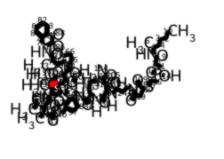 CCCCCC(C)NC(=O)CCP(=O)(O)CCSC1CC(=O)N(CCC(=O)N[C@H]2C(=O)N[C@H](C(=O)Nc3ccc(COC(=O)N(C)[C@H](C(=O)N[C@H](C(=O)N(C)[C@@H](C(C)CC)C(CC(=O)N4CCC[C@H]4[C@H](OC)[C@@H](C)C(=O)N[C@@H](Cc4ccccc4)C(=O)C=O)OC)C(C)C)C(C)C)cc3)CCCN(C(N)=O)C2C)C1=O